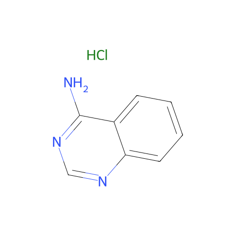 Cl.Nc1ncnc2ccccc12